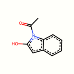 CC(=O)n1c(O)cc2ccccc21